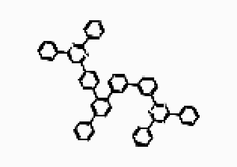 c1ccc(-c2ccc(-c3cccc(-c4cccc(-c5nc(-c6ccccc6)nc(-c6ccccc6)n5)c4)c3)c(-c3ccc(-c4nc(-c5ccccc5)nc(-c5ccccc5)n4)cc3)c2)cc1